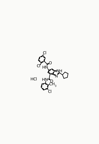 Cc1c(Cl)cccc1NC(=O)c1cc(NC(=O)c2cc(Cl)ccc2Cl)cc2[nH]c(C3CCCC3)nc12.Cl